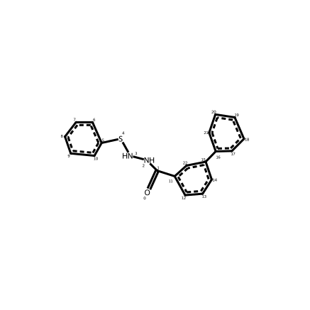 O=C(NNSc1ccccc1)c1cccc(-c2ccccc2)c1